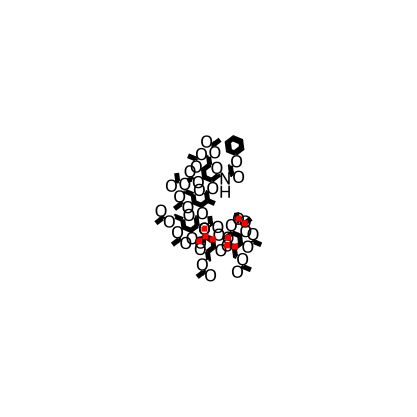 CC(=O)OCC1O[C@H](OC2[C@@H](OC(C)=O)[C@H](OC(C)=O)C(COC(C)=O)O[C@@H]2NC(=O)COc2ccccc2)C(C)[C@@H](O[C@H]2OC(COC(C)=O)[C@@H](OC(C)=O)[C@H](O[C@H]3OC(COC(C)=O)[C@@H](OC(C)=O)[C@H](O[C@H]4OC(COC(C)=O)[C@@H](OC(C)=O)[C@H](OC(C)=O)C4OC(C)=O)C3OC(C)=O)C2OC(C)=O)[C@@H]1OC(C)=O